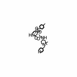 Cc1ccc(S(=O)(=O)N2C=CNC(=O)[C@H]2CC(=O)N[C@@H]2CCN(Cc3ccncc3)C(C)(C)C2)cc1